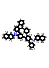 c1ccc(C2c3ccccc3-c3ccc4c(c32)c2cc(-c3ccc5c(c3)c3ccccc3n5-c3ccc5ccccc5c3)ccc2n4-c2ccc3ccccc3c2)cc1